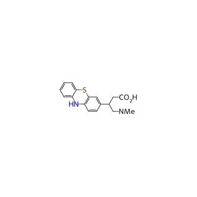 CNCC(CC(=O)O)c1ccc2c(c1)Sc1ccccc1N2